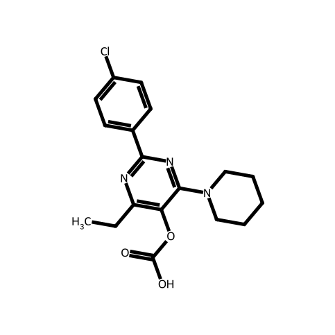 CCc1nc(-c2ccc(Cl)cc2)nc(N2CCCCC2)c1OC(=O)O